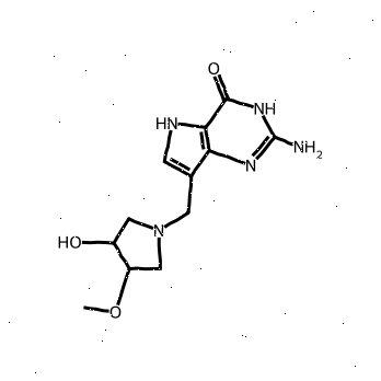 COC1CN(Cc2c[nH]c3c(=O)[nH]c(N)nc23)CC1O